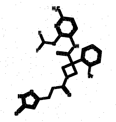 Cc1ccc(NC(=O)C2(c3ccccc3C(C)C)CN(C(=O)CCc3cc(=O)[nH]o3)C2)c(OC(F)F)n1